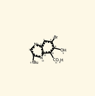 CC(C)(C)c1cnc2cc(Br)c(O)c(C(=O)O)c2n1